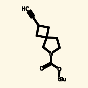 C#CC1CC2(CCN(C(=O)OC(C)(C)C)C2)C1